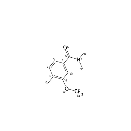 Cc1ccc(C(=O)N(C)C)cc1OC(F)(F)F